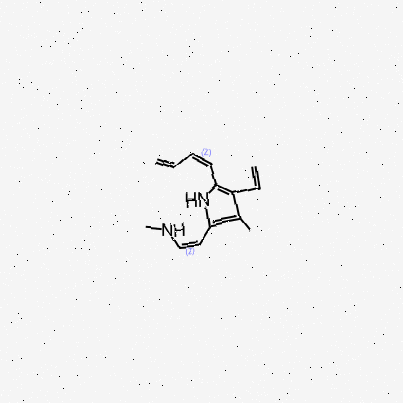 C=C/C=C\c1[nH]c(/C=C\NC)c(C)c1C=C